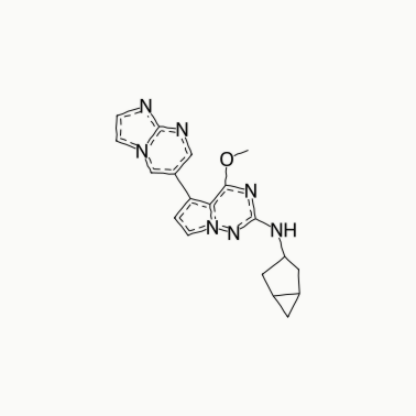 COc1nc(NC2CC3CC3C2)nn2ccc(-c3cnc4nccn4c3)c12